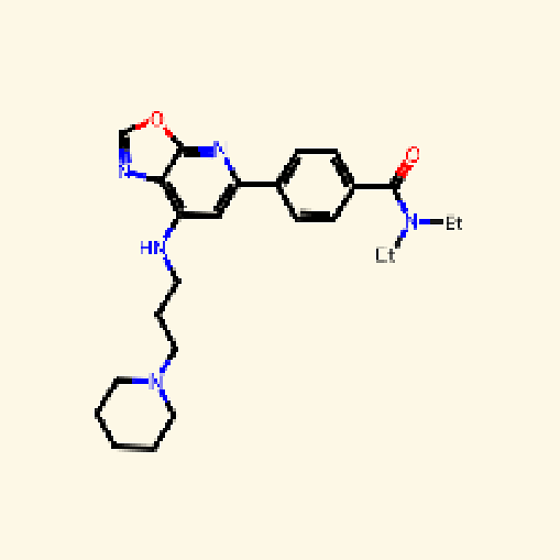 CCN(CC)C(=O)c1ccc(-c2cc(NCCCN3CCCCC3)c3ncoc3n2)cc1